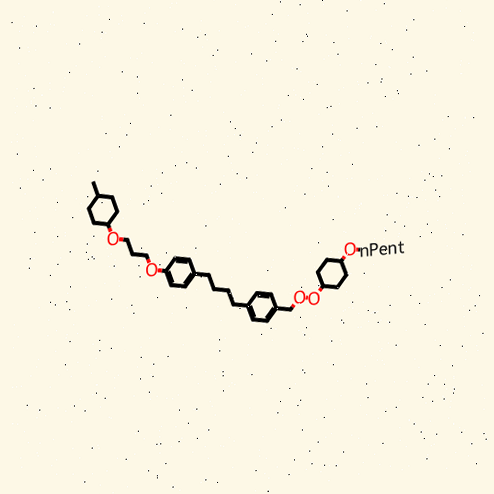 [CH2+][CH-]CCCOC1CCC(OOCc2ccc(CCCCc3ccc(OCCCOC4CCC(C)CC4)cc3)cc2)CC1